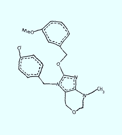 COc1cccc(COc2nc3c(n2Cc2ccc(Cl)cc2)COCN3C)c1